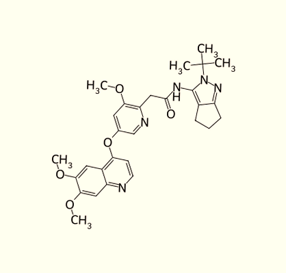 COc1cc2nccc(Oc3cnc(CC(=O)Nc4c5c(nn4C(C)(C)C)CCC5)c(OC)c3)c2cc1OC